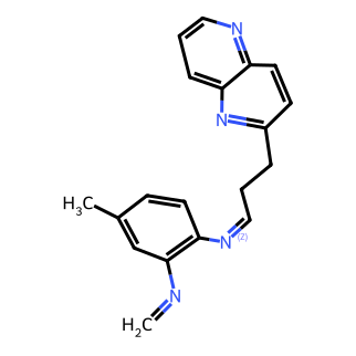 C=Nc1cc(C)ccc1/N=C\CCc1ccc2ncccc2n1